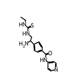 CCNC(=S)NCC(N)c1ccc(C(=O)Nc2ccncc2)cc1